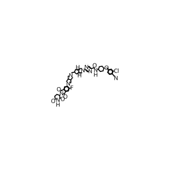 N#Cc1ccc(OC2CCC(NC(=O)c3cnc(N4C[C@H]5CC(CN6CC7CN(c8cc9c(cc8F)C(=O)N(C8CCC(=O)NC8=O)C9=O)CC7C6)C[C@H]5C4)cn3)CC2)cc1Cl